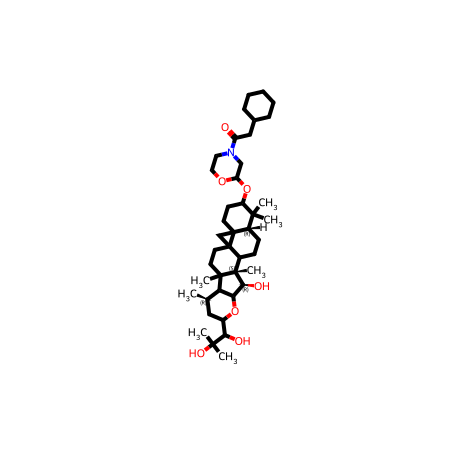 C[C@@H]1CC(C(O)C(C)(C)O)OC2C1C1(C)CCC34CC35CCC(OC3CN(C(=O)CC6CCCCC6)CCO3)C(C)(C)[C@@H]5CCC4[C@]1(C)[C@H]2O